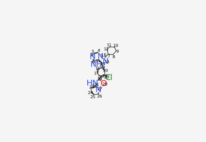 Nc1nccn2c(C3CCCCC3)nc(-c3ccc(C(=O)Nc4ccccn4)c(Cl)c3)c12